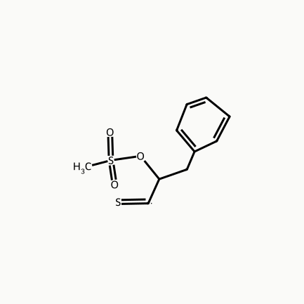 CS(=O)(=O)OC([C]=S)Cc1ccccc1